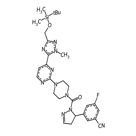 Cn1nc(CO[Si](C)(C)C(C)(C)C)nc1-c1ccnc(N2CCN(C(=O)N3N=CCC3c3cc(F)cc(C#N)c3)CC2)n1